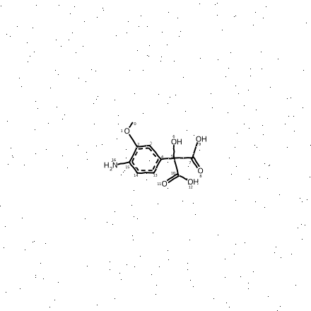 COc1cc(C(O)(C(=O)O)C(=O)O)ccc1N